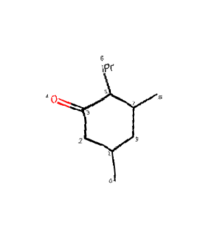 CC1CC(=O)C(C(C)C)C(C)C1